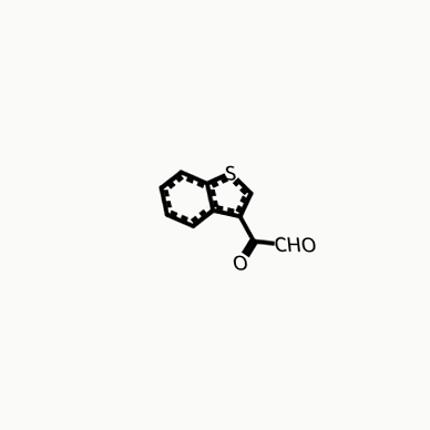 O=CC(=O)c1csc2ccccc12